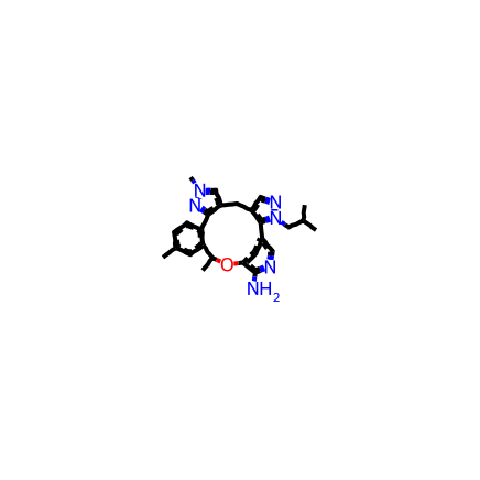 Cc1ccc2c(c1)C(C)Oc1cc(cnc1N)-c1c(cnn1CC(C)C)Cc1cn(C)nc1-2